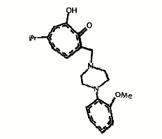 COc1ccccc1N1CCN(Cc2ccc(C(C)C)cc(O)c2=O)CC1